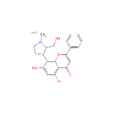 CN1CCC(c2c(O)cc(O)c3c(=O)cc(-c4ccccc4)oc23)C1CO.Cl